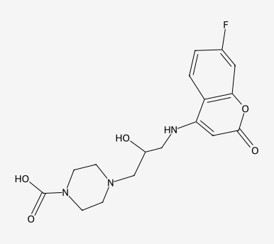 O=C(O)N1CCN(CC(O)CNc2cc(=O)oc3cc(F)ccc23)CC1